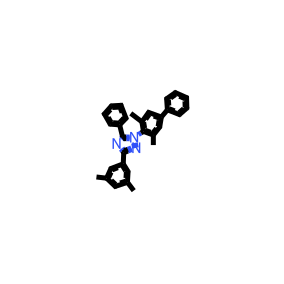 Cc1cc(C)cc(-c2nc(-c3ccccc3)n(-c3c(C)cc(-c4ccccc4)cc3C)n2)c1